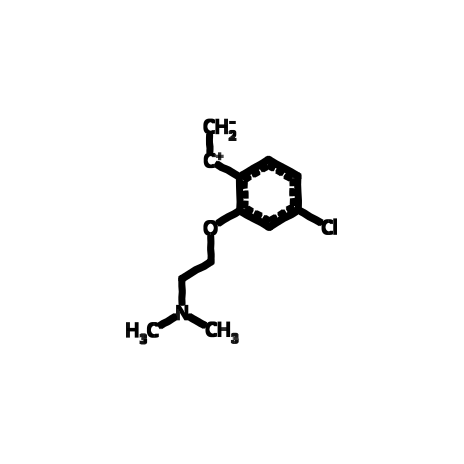 [CH2-][CH+]c1ccc(Cl)cc1OCCN(C)C